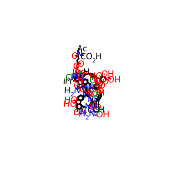 CC(=O)CN(CC(=O)O)C(=O)CCC(=O)OCOC(=O)N(C)[C@H](CC(C)C)C(=O)N[C@H]1C(=O)C[C@@H](CC(N)=O)C(=O)N[C@H]2C(=O)C[C@H]3C(=O)N[C@H](C(=O)N[C@H](C(=O)O)c4cc(O)cc5c4-c4cc3ccc4C5(O)O)[C@H](O[C@H]3C[C@](C)(N)[C@@H](O)[C@H](C)O3)c3ccc(c(Cl)c3)Oc3cc2cc(c3O[C@@H]2O[C@H](CO)[C@@H](O)[C@H](O)[C@H]2O[C@H]2C[C@](C)(NCc3ccc(-c4ccc(Cl)cc4)cc3)[C@@H](O)[C@H](C)O2)Oc2ccc(cc2Cl)[C@H]1O